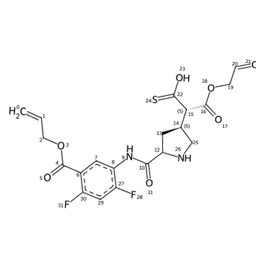 C=CCOC(=O)c1cc(NC(=O)C2C[C@@H]([C@@H](C(=O)OCC=C)C(O)=S)CN2)c(F)cc1F